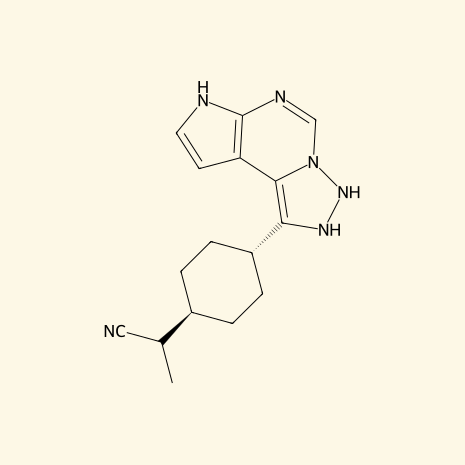 CC(C#N)[C@H]1CC[C@H](C2=C3c4cc[nH]c4N=CN3NN2)CC1